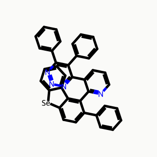 c1ccc(-c2ccc3[se]c4ccccc4c3c2-c2ncccc2-c2nnnc(-c3ccccc3)c2-c2ccccc2)cc1